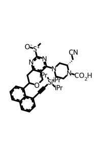 CC(C)[Si](C#Cc1cccc2cccc(C3Cc4nc([S+](C)[O-])nc(N5CCN(C(=O)O)[C@@H](CC#N)C5)c4CO3)c12)(C(C)C)C(C)C